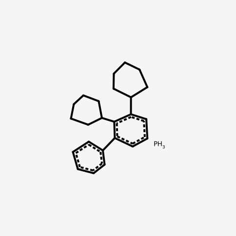 P.c1ccc(-c2cccc(C3CCCCC3)c2C2CCCCC2)cc1